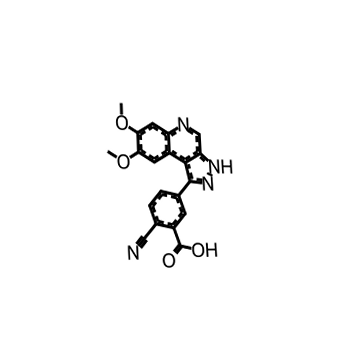 COc1cc2ncc3[nH]nc(-c4ccc(C#N)c(C(=O)O)c4)c3c2cc1OC